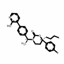 C[C@@H](c1ccc(-c2cccnc2O)cc1)N1CC[C@](CCCI)(c2ccc(F)cc2)OC1=O